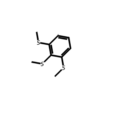 CSc1[c]ccc(SC)c1SC